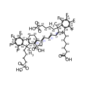 CC1(CCCCS(=O)(=O)O)C(/C=C/C=C/C=C/C=C2/N(CCCCCC(=O)O)c3c(F)c(F)c(F)c(F)c3C2(C)CCCCS(=O)(=O)O)=[N+](CCCCS(=O)(=O)O)c2c(F)c(F)c(F)c(F)c21